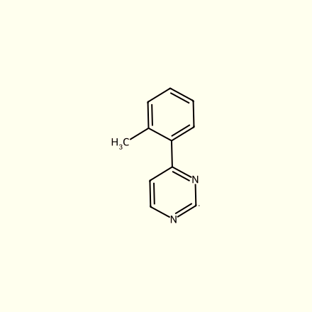 Cc1ccccc1-c1ccn[c]n1